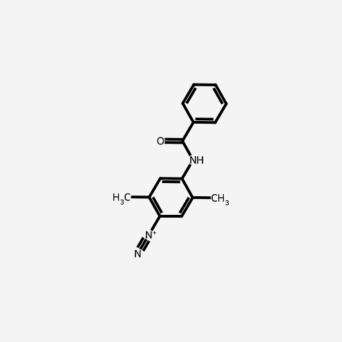 Cc1cc(NC(=O)c2ccccc2)c(C)cc1[N+]#N